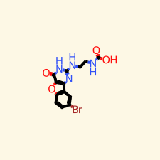 O=C(O)NCCNc1nc2c(oc3ccc(Br)cc32)c(=O)[nH]1